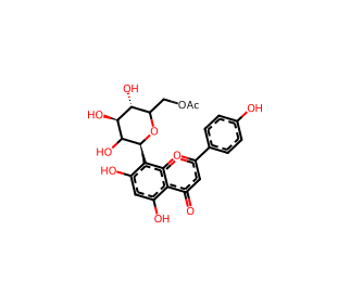 CC(=O)OCC1O[C@@H](c2c(O)cc(O)c3c(=O)cc(-c4ccc(O)cc4)oc23)C(O)[C@@H](O)[C@@H]1O